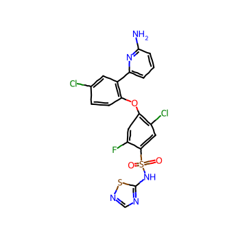 Nc1cccc(-c2cc(Cl)ccc2Oc2cc(F)c(S(=O)(=O)Nc3ncns3)cc2Cl)n1